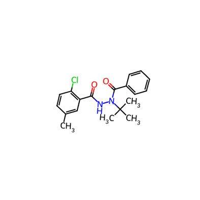 Cc1ccc(Cl)c(C(=O)NN(C(=O)c2ccccc2)C(C)(C)C)c1